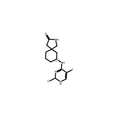 O=C1CC2(CCC[C@H](NC3=NC(Cl)NC=C3F)C2)CN1